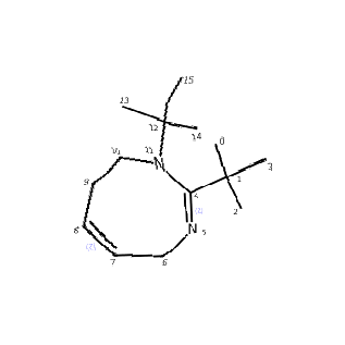 CC(C)(C)/C1=N/C/C=C\CCN1C(C)(C)C